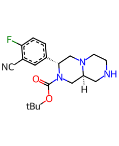 CC(C)(C)OC(=O)N1C[C@@H]2CNCCN2C[C@H]1c1ccc(F)c(C#N)c1